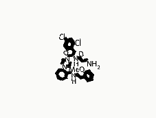 COc1ccccc1CCNCC1CCCCCC1N1CCN(C(=O)C(Cc2ccc(Cl)cc2Cl)NC(=O)CCN)CC1